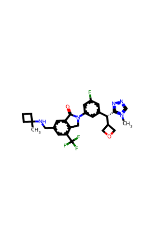 Cn1cnnc1[C@@H](c1cc(F)cc(N2Cc3c(cc(CNC4(C)CCC4)cc3C(F)(F)F)C2=O)c1)C1COC1